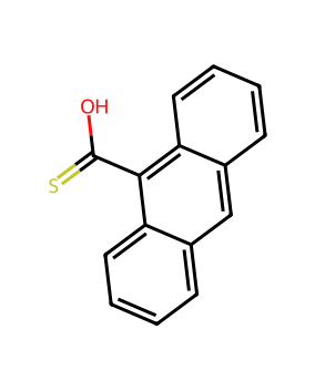 OC(=S)c1c2ccccc2cc2ccccc12